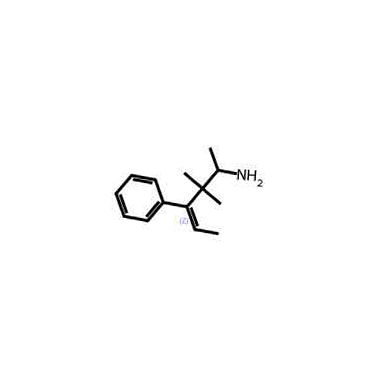 C/C=C(/c1ccccc1)C(C)(C)C(C)N